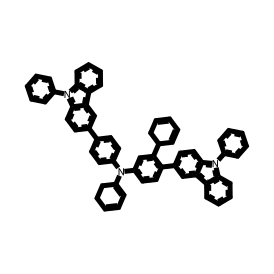 C1=CCCC(N(c2ccc(-c3ccc4c(c3)c3ccccc3n4-c3ccccc3)cc2)c2ccc(-c3ccc4c(c3)c3ccccc3n4-c3ccccc3)c(C3C=CC=CC3)c2)=C1